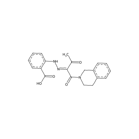 CC(=O)/C(=N\Nc1ccccc1C(=O)O)C(=O)N1CCc2ccccc2C1